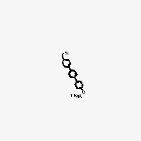 CCCCCCCOc1ccc(-c2ccc(C3=CCC(CC(C)CC)CC3)cc2)cc1